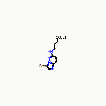 CCOC(=O)CCCNc1ccc2ncc(Br)n2n1